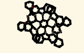 c1ccc(-c2cc(-c3c(-n4c5ccccc5c5ccccc54)c(-n4c5ccccc5c5ccccc54)c(-c4nc(-c5ccccc5)nc(-c5ccccc5)n4)c(-n4c5ccccc5c5ccccc54)c3-n3c4ccccc4c4ccccc43)nc(-c3ccccc3)n2)cc1